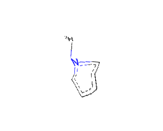 [2H]n1cccc1